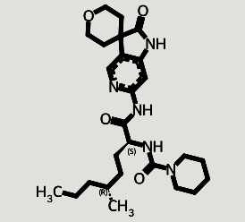 CCC[C@@H](C)CC[C@H](NC(=O)N1CCCCC1)C(=O)Nc1cc2c(cn1)C1(CCOCC1)C(=O)N2